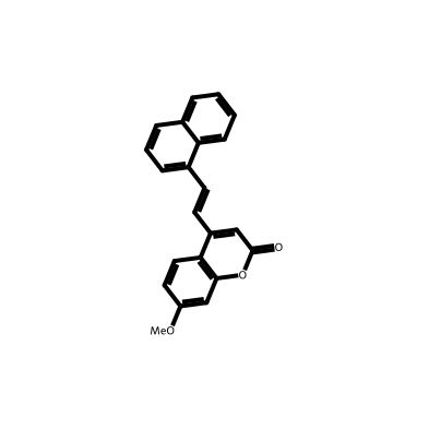 COc1ccc2c(C=Cc3cccc4ccccc34)cc(=O)oc2c1